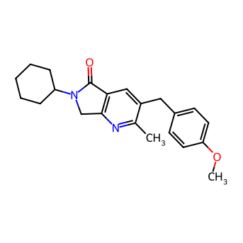 COc1ccc(Cc2cc3c(nc2C)CN(C2CCCCC2)C3=O)cc1